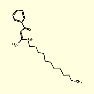 CCCCCCCCCCCC[AsH]/C(C)=C\C(=O)c1ccccc1